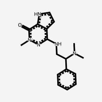 CN(C)C(CNc1nn(C)c(=O)c2[nH]ccc12)c1ccccc1